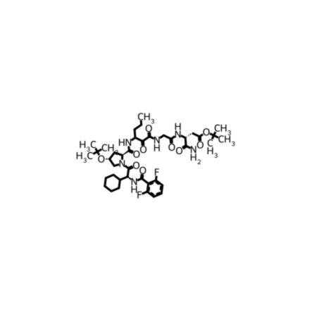 CCCC(NC(=O)[C@@H]1C[C@@H](OC(C)(C)C)CN1C(=O)[C@@H](NC(=O)c1c(F)cccc1F)C1CCCCC1)C(=O)C(=O)NCC(=O)N[C@H](CC(=O)OC(C)(C)C)C(N)=O